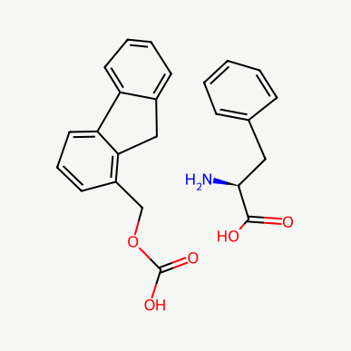 N[C@@H](Cc1ccccc1)C(=O)O.O=C(O)OCc1cccc2c1Cc1ccccc1-2